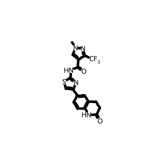 Cn1cc(C(=O)Nc2nc(-c3ccc4c(c3)CCC(=O)N4)cs2)c(C(F)(F)F)n1